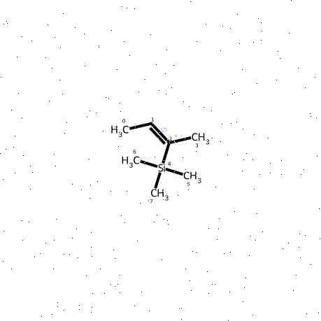 C/C=C(/C)[Si](C)(C)C